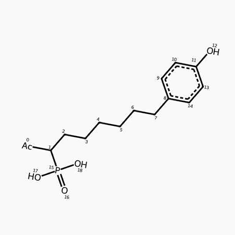 CC(=O)C(CCCCCCc1ccc(O)cc1)P(=O)(O)O